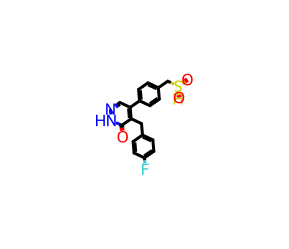 O=c1[nH]ncc(-c2ccc(C[SH](=O)=O)cc2)c1Cc1ccc(F)cc1